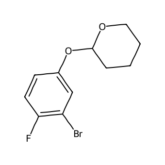 Fc1ccc(OC2CCCCO2)cc1Br